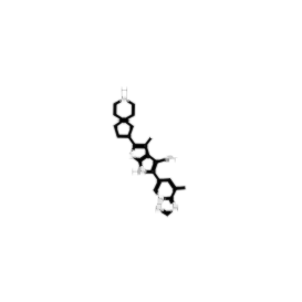 Cc1c(C2CCC3(CCNCC3)C2)sc2[nH]c(-c3cc(C)c4ncnn4c3)c(C(C)C)c12